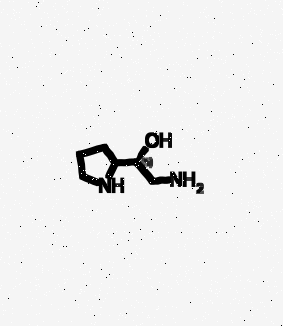 NC[C@H](O)C1CCCN1